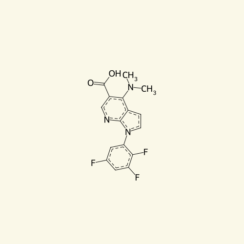 CN(C)c1c(C(=O)O)cnc2c1ccn2-c1cc(F)cc(F)c1F